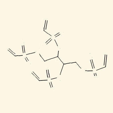 C=CS(=O)(=O)OCC(OS(=O)(=O)C=C)C(COS(=O)(=O)C=C)OS(=O)(=O)C=C